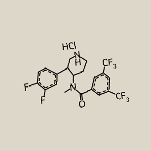 CN(C(=O)c1cc(C(F)(F)F)cc(C(F)(F)F)c1)C1CCNCC1c1ccc(F)c(F)c1.Cl